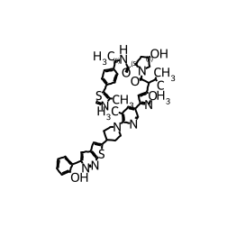 Cc1cc(-c2cc(C(C(=O)N3C[C@H](O)C[C@H]3C(=O)N[C@@H](C)c3ccc(-c4scnc4C)cc3)C(C)C)on2)cnc1N1CCC(c2cc3cc(-c4ccccc4O)nnc3s2)CC1